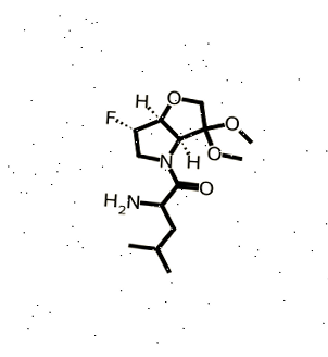 COC1(OC)CO[C@H]2[C@@H]1N(C(=O)C(N)CC(C)C)C[C@@H]2F